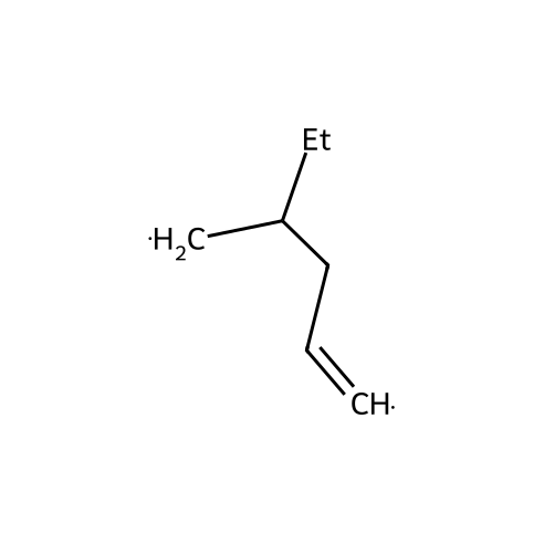 [CH]=CCC([CH2])CC